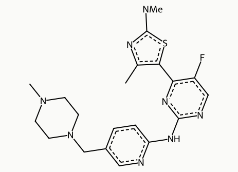 CNc1nc(C)c(-c2nc(Nc3ccc(CN4CCN(C)CC4)cn3)ncc2F)s1